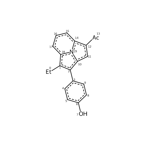 CCc1c(-c2ccc(O)cc2)c2cc(C(C)=O)c3cccc1n32